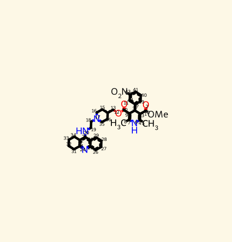 COC(=O)C1=C(C)NC(C)=C(C(=O)OCC2CCN(CCNc3c4c(nc5ccccc35)CCCC4)CC2)C1c1cccc([N+](=O)[O-])c1